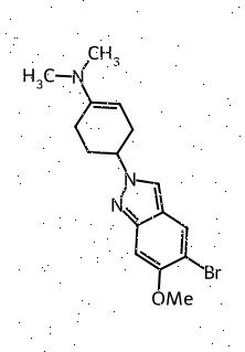 COc1cc2nn(C3CC=C(N(C)C)CC3)cc2cc1Br